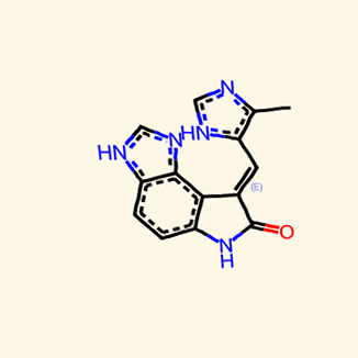 Cc1nc[nH]c1/C=C1/C(=O)Nc2ccc3[nH]cnc3c21